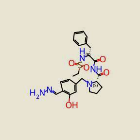 CCS(=O)(=O)N[C@H](Cc1ccccc1)C(=O)NC(=O)[C@@H]1CCCN1Cc1ccc(C=NN)c(O)c1